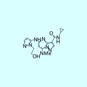 CNc1cc(Nc2ccnn2CCO)nc2c(C(=O)NC3CC3)cnn12